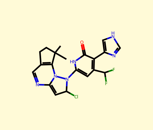 CC1(C)CCC2=C1N1C(=CC(Cl)N1c1cc(C(F)F)c(-c3c[nH]cn3)c(=O)[nH]1)N=C2